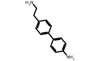 NCCc1ccc(-c2ccc(N)cc2)cc1